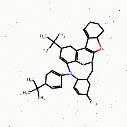 CC1C=CC2C(C1)CC1CC3=C(CC(C(C)(C)C)C=C3N2C2=CCC(C(C)(C)C)C=C2)C2=C1OC1CCCC=C21